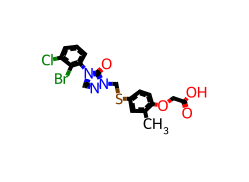 Cc1cc(SCn2ncn(-c3cccc(Cl)c3Br)c2=O)ccc1OCC(=O)O